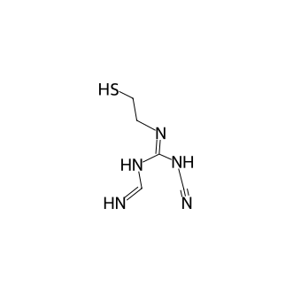 N#CN/C(=N/CCS)NC=N